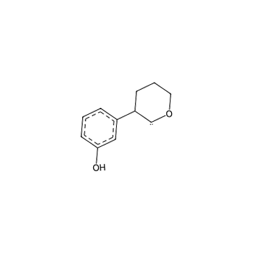 Oc1cccc(C2[C]OCCC2)c1